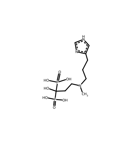 CN(CCCc1c[nH]cn1)CCC(O)(P(=O)(O)O)P(=O)(O)O